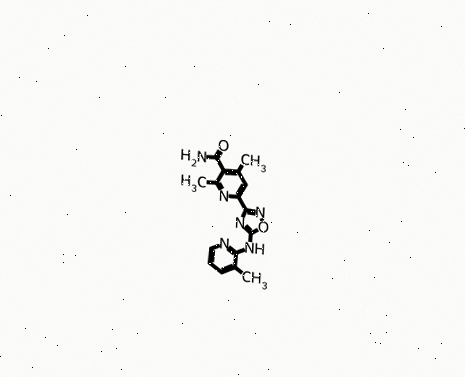 Cc1cccnc1Nc1nc(-c2cc(C)c(C(N)=O)c(C)n2)no1